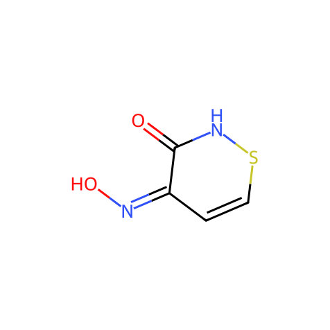 O=c1[nH]sccc1=NO